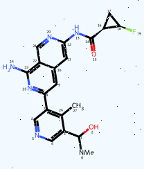 CNC(O)c1cncc(-c2cc3cc(NC(=O)[C@H]4C[C@H]4F)ncc3c(N)n2)c1C